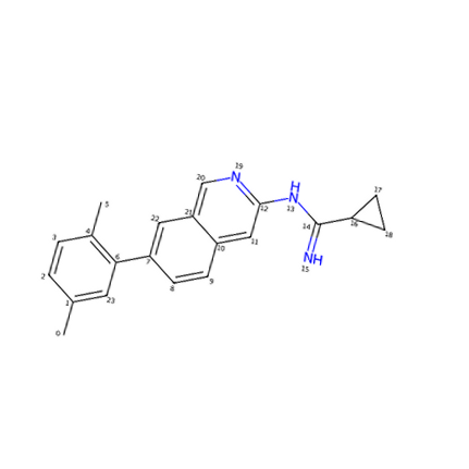 Cc1ccc(C)c(-c2ccc3cc(NC(=N)C4CC4)ncc3c2)c1